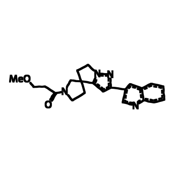 COCCC(=O)N1CCC2(CCn3nc(-c4cnc5ccccc5c4)cc32)C1